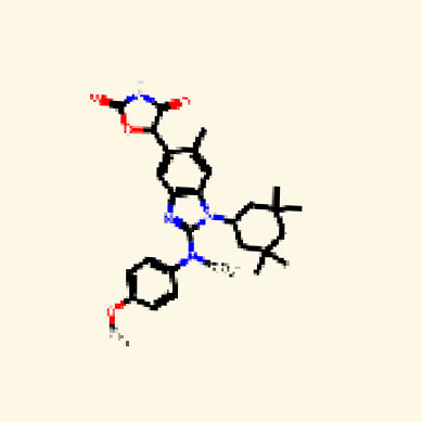 Cc1cc2c(cc1C1OC(=O)NC1=O)nc(N(C(=O)O)c1ccc(OC(F)(F)F)cc1)n2C1CC(C)(C)CC(C)(C)C1